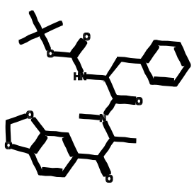 CC(C(=O)c1ccc2c(c1)OCO2)N(C)C(=O)[C@H](Cc1ccccc1)NC(=O)OC(C)(C)C